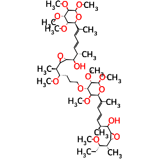 CC[C@H](OC)[C@@H](C)[C@H]1O[C@@H]1[C@H](O)[C@@H](C)/C=C/C=C(\C)[C@@H]1O[C@H](OC)[C@@H](OC)[C@@H](OCCC[C@H](OC)[C@@H](C)[C@H]2O[C@@H]2[C@H](O)[C@@H](C)/C=C/C=C(\C)[C@@H]2O[C@H](OC)[C@H](OC)[C@@H](OC)[C@H]2OC)[C@@H]1OC